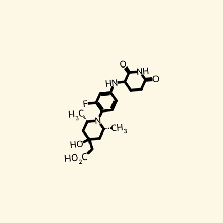 C[C@@H]1CC(O)(CC(=O)O)C[C@H](C)N1c1ccc(NC2CCC(=O)NC2=O)cc1F